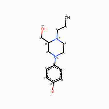 N#CCCN1CCN(c2ccc(Br)cc2)CC1CO